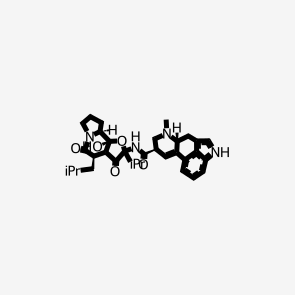 CC(C)C[C@H]1C(=O)N2CCC[C@H]2[C@]2(O)OC(NC(=O)[C@@H]3C=C4c5cccc6[nH]cc(c56)C[C@H]4N(C)C3)(C(C)C)C(=O)C12